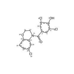 O=C(c1cc(Cl)c(O)c(Cl)c1)N1CCOc2ccc(Cl)cc21